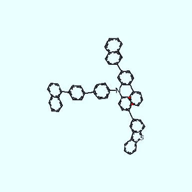 c1ccc(-c2ccc(-c3ccc4ccccc4c3)cc2N(c2ccc(-c3ccc(-c4cccc5ccccc45)cc3)cc2)c2ccc(-c3ccc4sc5ccccc5c4c3)cc2)cc1